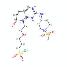 CS(=O)(=O)N1CCC(Nc2ncc3ccc(=O)n(CCOCCCS(=O)(=O)Cl)c3n2)CC1